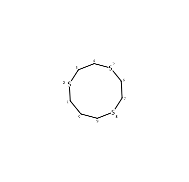 C1CSCCSCCSC1